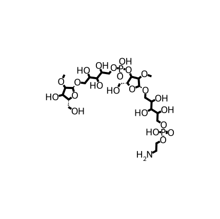 COC1C(O)[C@@H](CO)O[C@H]1OCC(O)C(O)C(O)COP(=O)(O)OC1C(OC)[C@H](OCC(O)C(O)C(O)COP(=O)(O)OCCN)O[C@@H]1CO